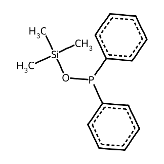 C[Si](C)(C)OP(c1ccccc1)c1ccccc1